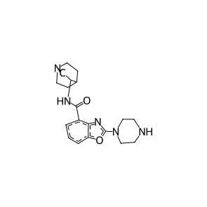 O=C(NC1CN2CCC1CC2)c1cccc2oc(N3CCNCC3)nc12